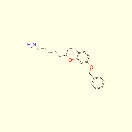 NCCCCCC1CCc2ccc(OCc3ccccc3)cc2O1